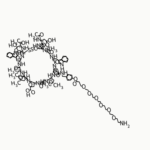 CC(=O)N[C@@H](CC(=O)O)C(=O)N[C@H]1CSSC[C@@H](C(=O)N[C@H](C(=O)O)[C@@H](C)O)NC(=O)[C@H](Cc2c[nH]c3ccccc23)NC(=O)[C@H](C(C)C)NC(=O)[C@H](CC(C)C)NC(=O)[C@H](CCC(=O)O)NC(=O)CNC(=O)[C@H](CC(C)C)NC(=O)[C@H](CC(=O)NCc2ccc(OC(=O)CCOCCOCCOCCOCCOCCOCCN)cc2)NC(=O)[C@H](Cc2c[nH]c3ccccc23)NC(=O)[C@H](C)NC1=O